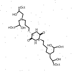 CCCCCCCCC(O)CN(CCCC[C@@H]1NC(=O)[C@@H](CCCCN(CC(O)CCCCCCCC)CC(O)CCCCCCCC)NC1=O)CC(O)CCCCCCCC